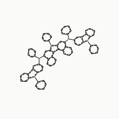 c1ccc(N(c2ccc3c(c2)c2ccccc2n3-c2ccccc2)c2cc3c(c4ccccc24)c2c4ccccc4c(N(c4ccccc4)c4ccc5c(c4)c4ccccc4n5-c4ccccc4)cc2n3-c2ccccc2)cc1